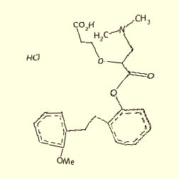 COc1ccccc1CCc1ccccc1OC(=O)C(CN(C)C)OCCC(=O)O.Cl